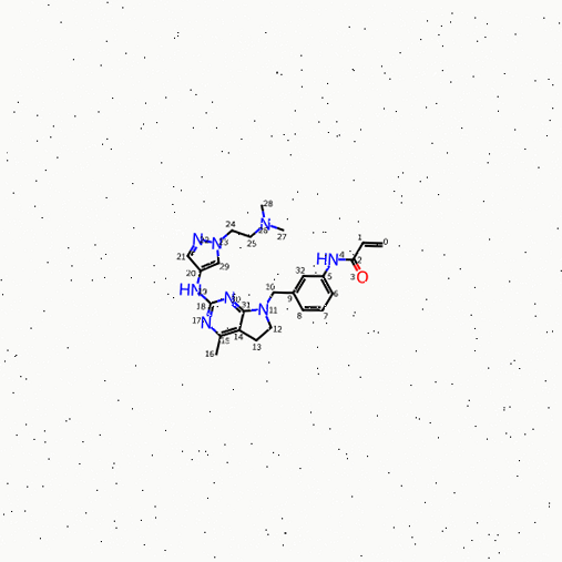 C=CC(=O)Nc1cccc(CN2CCc3c(C)nc(Nc4cnn(CCN(C)C)c4)nc32)c1